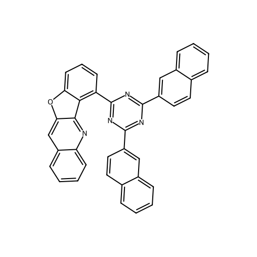 c1ccc2cc(-c3nc(-c4ccc5ccccc5c4)nc(-c4cccc5oc6cc7ccccc7nc6c45)n3)ccc2c1